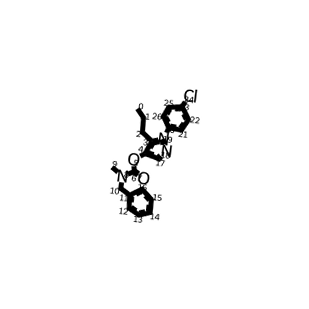 CCCc1c(OC(=O)N(C)Cc2ccccc2)cnn1-c1ccc(Cl)cc1